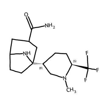 CN1C[C@H](C23CCC(CC(C(N)=O)C2)N3)CC[C@H]1C(F)(F)F